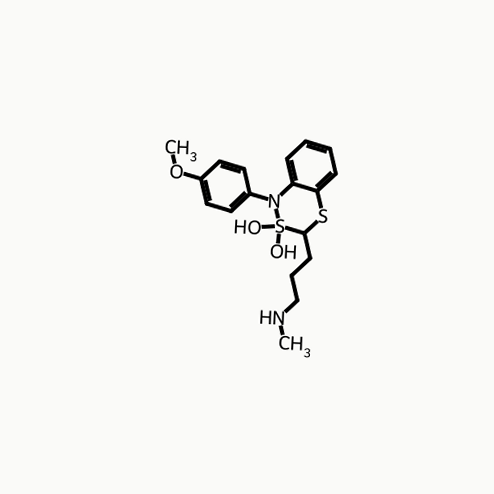 CNCCCC1Sc2ccccc2N(c2ccc(OC)cc2)S1(O)O